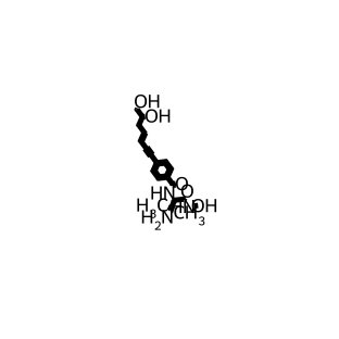 CC(C)(N)[C@H](NC(=O)c1ccc(C#CC=CCC(O)CO)cc1)C(=O)NO